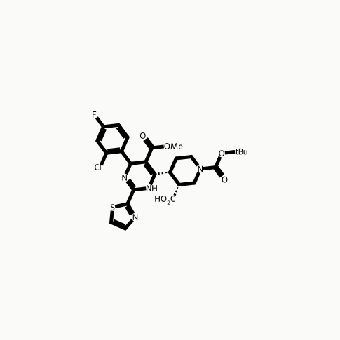 COC(=O)C1=C([C@@H]2CCN(C(=O)OC(C)(C)C)C[C@@H]2C(=O)O)NC(c2nccs2)=NC1c1ccc(F)cc1Cl